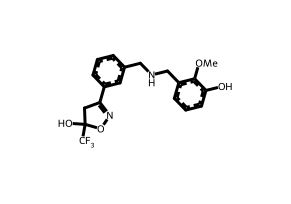 COc1c(O)cccc1CNCc1cccc(C2=NOC(O)(C(F)(F)F)C2)c1